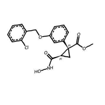 COC(=O)[C@]1(c2cccc(OCc3ccccc3Cl)c2)C[C@H]1C(=O)NO